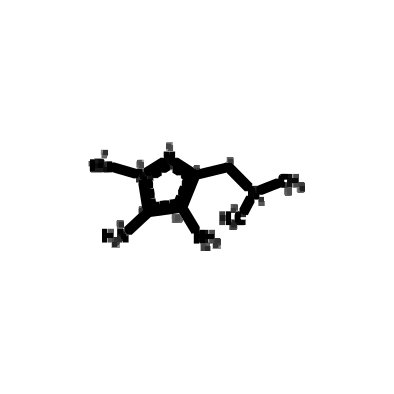 CN(C)Cc1nn(C(C)(C)C)c(N)c1N